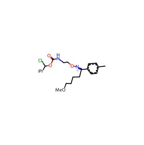 COCCCC/C(=N\OCCNC(=O)OC(Cl)C(C)C)c1ccc(C)cc1